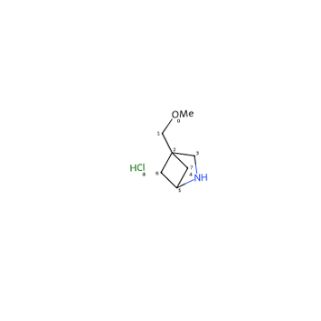 COCC12CNC(C1)C2.Cl